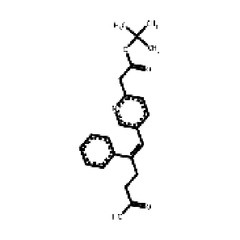 CC(C)(C)OC(=O)Cc1ccc(C=C(CCC(=O)O)c2ccccc2)cn1